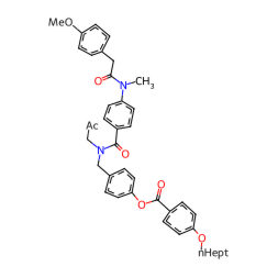 CCCCCCCOc1ccc(C(=O)Oc2ccc(CN(CC(C)=O)C(=O)c3ccc(N(C)C(=O)Cc4ccc(OC)cc4)cc3)cc2)cc1